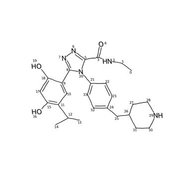 CCNC(=O)c1nnc(-c2cc(C(C)C)c(O)cc2O)n1-c1ccc(CC2CCNCC2)cc1